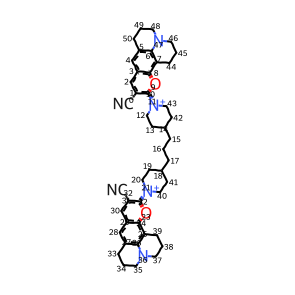 N#Cc1cc2cc3c4c(c2oc1=[N+]1CCC(CCCC2CC[N+](=c5oc6c7c8c(cc6cc5C#N)CCCN8CCC7)CC2)CC1)CCCN4CCC3